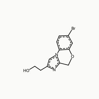 OCCc1cn2c(n1)COc1cc(Br)ccc1-2